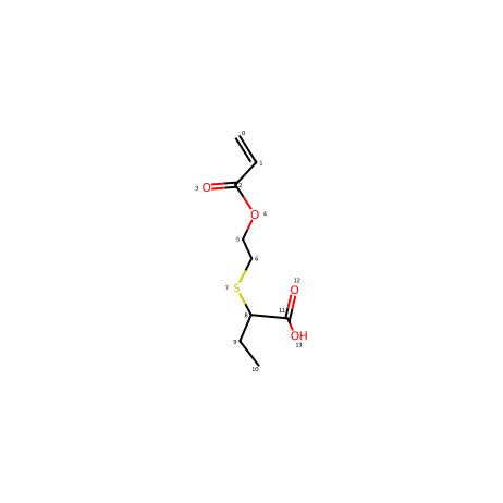 C=CC(=O)OCCSC(CC)C(=O)O